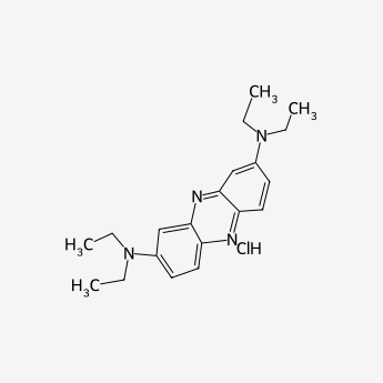 CCN(CC)c1ccc2nc3ccc(N(CC)CC)cc3nc2c1.Cl